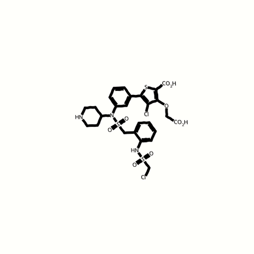 O=C(O)COc1c(C(=O)O)sc(-c2cccc(N(C3CCNCC3)S(=O)(=O)Cc3ccccc3NS(=O)(=O)CCl)c2)c1Cl